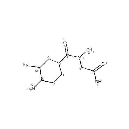 CN(CC(=O)O)C(=O)C1CCC(N)C(F)C1